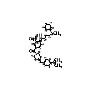 CN(C)c1ccc(CN2CCN(C(=O)c3ccc(NCCCN(C)c4ccccc4)c([N+](=O)[O-])c3)CC2)cc1